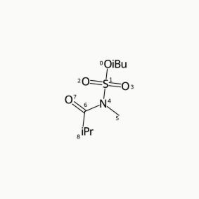 CC(C)COS(=O)(=O)N(C)C(=O)C(C)C